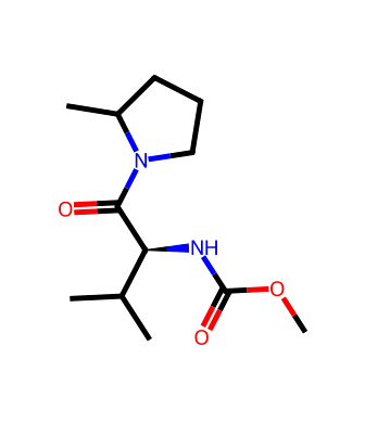 COC(=O)N[C@H](C(=O)N1CCCC1C)C(C)C